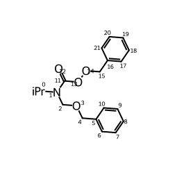 CC(C)N(COCc1ccccc1)C(=O)OOCc1ccccc1